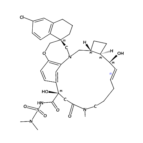 CN1CCC/C=C/[C@H](O)[C@@H]2CC[C@H]2CN2C[C@@]3(CCCc4cc(Cl)ccc43)COc3ccc(cc32)[C@@](O)(C(=O)NS(=O)(=O)N(C)C)CC1=O